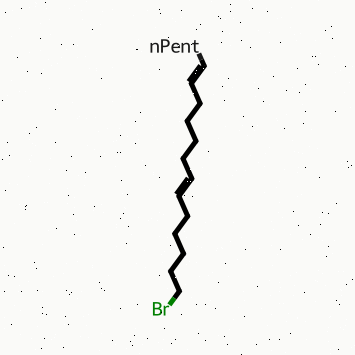 CCCCCC=CCCCCC=CCCCCCBr